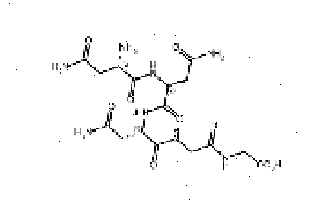 NC(=O)C[C@H](NC(=O)[C@H](CC(N)=O)NC(=O)[C@@H](N)CC(N)=O)C(=O)NCC(=O)NCC(=O)O